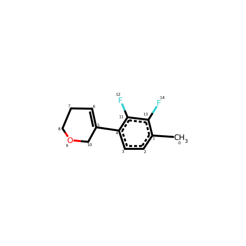 Cc1ccc(C2=CCCOC2)c(F)c1F